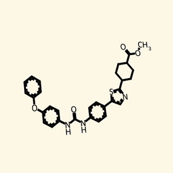 COC(=O)C1CCC(c2ncc(-c3ccc(NC(=O)Nc4ccc(Oc5ccccc5)cc4)cc3)s2)CC1